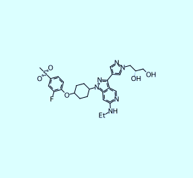 CCNc1cc2c(cn1)c(-c1cnn(C[C@@H](O)CO)c1)nn2C1CCC(Oc2ccc(S(C)(=O)=O)cc2F)CC1